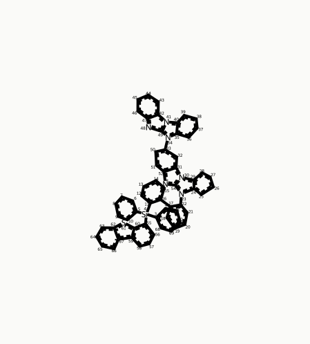 c1ccc([Si](c2ccccc2)(c2ccccc2-c2ccccc2-n2c3ccccc3n3c4cc(-n5c6ccccc6n6c7ccccc7nc56)ccc4nc23)c2cccc3c2sc2ccccc23)cc1